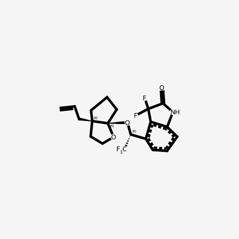 C=CC[C@@]12CCC[C@]1(O[C@H](c1cccc3c1C(F)(F)C(=O)N3)C(F)(F)F)OCC2